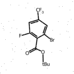 CC(C)(C)OC(=O)c1c(F)cc(C(F)(F)F)cc1Br